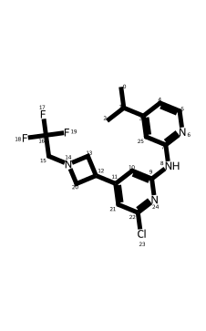 CC(C)c1ccnc(Nc2cc(C3CN(CC(F)(F)F)C3)cc(Cl)n2)c1